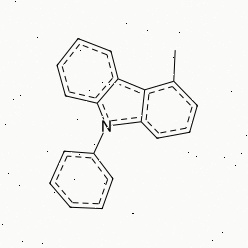 Cc1cccc2c1c1ccccc1n2-c1ccccc1